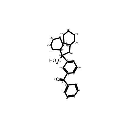 O=C(c1ccccc1)c1cccc(C(CC2CCCCC2)(C(=O)O)C2CCCCC2)c1